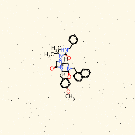 COc1ccc(C[C@H]2C(=O)N(Cc3cccc4ccccc34)C[C@H]3N2C(=O)CN3N(C(=O)NCc2ccccc2)C(C)C)cc1